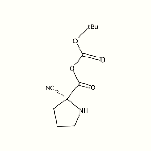 CC(C)(C)OC(=O)OC(=O)[C@]1(C#N)CCCN1